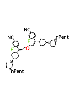 CCCCC[C@H]1CCC[C@H]([C@H]2CC[C@H](C(=CCOCC=C(c3ccc(C#N)cc3F)[C@H]3CC[C@H]([C@H]4CCC[C@H](CCCCC)C4)CC3)c3ccc(C#N)cc3F)CC2)C1